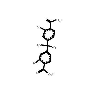 CC(=O)c1cc(C(c2ccc(C(=O)C(=O)O)c(C(C)=O)c2)(C(F)(F)F)C(F)(F)F)ccc1C(=O)C(=O)O